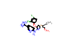 CC(CCO)Sc1cnc(Nc2ccc(-c3nnn[nH]3)cn2)c(Oc2ccc(F)cc2F)c1